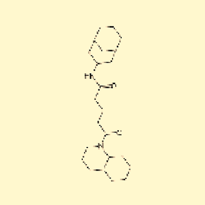 O=C(CCCC(=O)N1CCCC2CCCCC21)NC1CC2CCCC(C2)C1